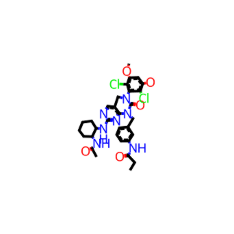 CCC(=O)Nc1cccc(CN2C(=O)N(c3c(Cl)c(OC)cc(OC)c3Cl)Cc3cnc(NC4CCCCC4NC(C)=O)nc32)c1